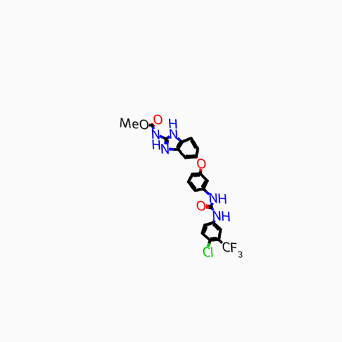 COC(=O)Nc1nc2cc(Oc3cccc(NC(=O)Nc4ccc(Cl)c(C(F)(F)F)c4)c3)ccc2[nH]1